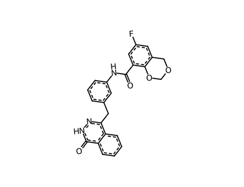 O=C(Nc1cccc(Cc2n[nH]c(=O)c3ccccc23)c1)c1cc(F)cc2c1OCOC2